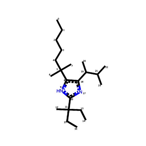 CCCCCC(C)(C)c1[nH]c(C(C)(CC)CC)nc1C(C)C(C)C